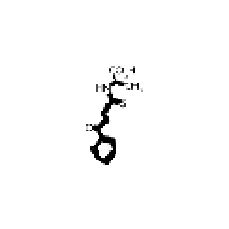 C[C@@H](NC(=S)CCC(=O)c1ccccc1)C(=O)O